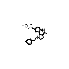 Cc1nc2ccc(CC(=O)O)cc2c2c1CCN2CCc1ccccc1